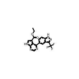 CCOC(=O)c1c[nH]c2ncnc(-c3ccc4[nH]nc(C(F)(F)F)c4c3)c12